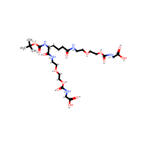 CC(C)(C)OC(=O)N[C@@H](CCCC(=O)NCCOCCOC(=O)NCC(=O)O)C(=O)NCCOCCOC(=O)NCC(=O)O